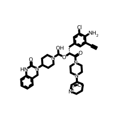 C#Cc1cc(C[C@@H](OC(O)N2CCC(N3Cc4ccccc4NC3=O)CC2)C(=O)N2CCN(C3CN4CCCC3CC4)CC2)cc(Cl)c1N